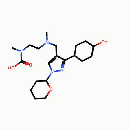 CN(CCN(C)C(=O)O)Cc1cn(C2CCCCO2)nc1C1CCC(O)CC1